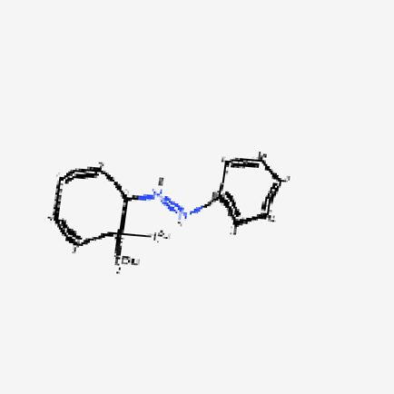 CC(C)(C)C1(C(C)(C)C)C=CC=CC1N=Nc1ccccc1